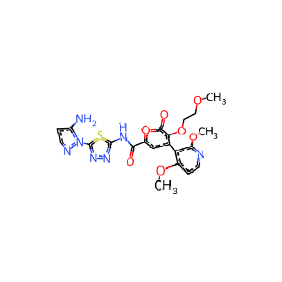 COCCOc1c(-c2c(OC)ccnc2OC)cc(C(=O)Nc2nnc(-n3nccc3N)s2)oc1=O